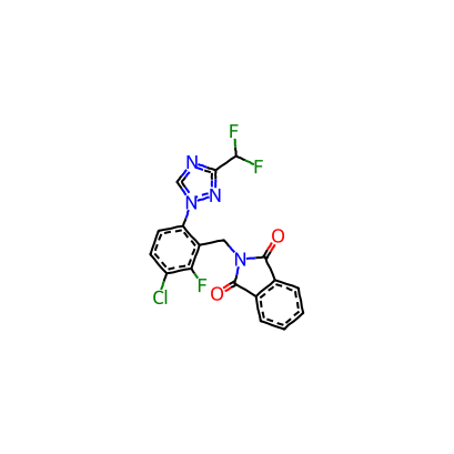 O=C1c2ccccc2C(=O)N1Cc1c(-n2cnc(C(F)F)n2)ccc(Cl)c1F